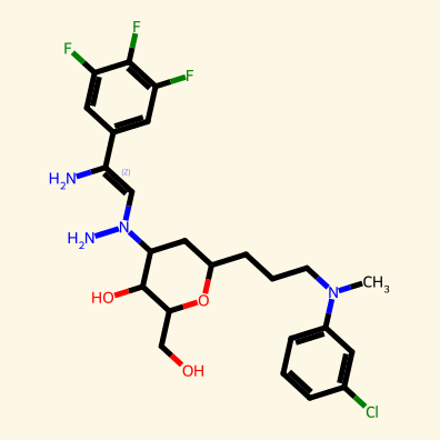 CN(CCCC1CC(N(N)/C=C(\N)c2cc(F)c(F)c(F)c2)C(O)C(CO)O1)c1cccc(Cl)c1